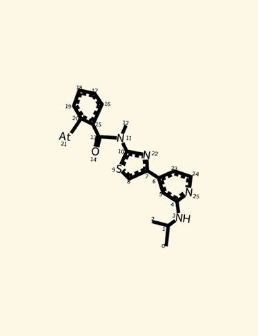 CC(C)Nc1cc(-c2csc(N(C)C(=O)c3ccccc3[At])n2)ccn1